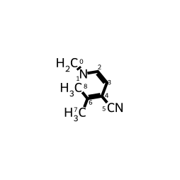 C=N/C=C\C(C#N)=C(C)C